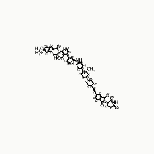 C[C@H]1CC(N2CCC(C#Cc3ccc4c(c3)C(=O)N(C3CCC(=O)NC3=O)C4=O)CC2)CCN1c1ccc(Nc2cc(-c3ccnc(N4CCn5c(cc6c5CC(C)(C)C6)C4=O)c3CO)ccn2)nc1